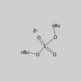 CCCCOS(=O)(=O)OCCCC.[Zr]